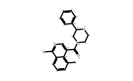 Cc1cccc2c(Cl)ncc(C(=O)N3CCOC(c4ccccc4)C3)c12